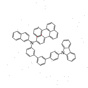 c1ccc(-c2cccc3cccc(-c4ccc(N(c5cccc(-c6cccc(-c7ccc(-n8c9ccccc9c9ccccc98)cc7)c6)c5)c5ccc6ccccc6c5)cc4)c23)cc1